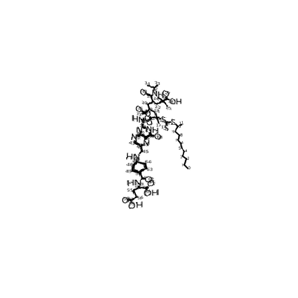 CCCCCCCCCCC(C)SC(=S)SC(C)(CC(CC(CC(C)(C)C(=O)O)C(=O)NC(C)C)C(=O)ONc1nc2ncc(CNc3ccc(C(=O)NC(CCC(=O)O)C(=O)O)cc3)nc2c(=O)[nH]1)C(=O)OC